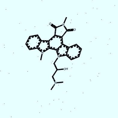 CN(C)CC(O)Cn1c2ccccc2c2c3c(c4c5ccccc5n(C)c4c21)C(=O)N(C)C3=O